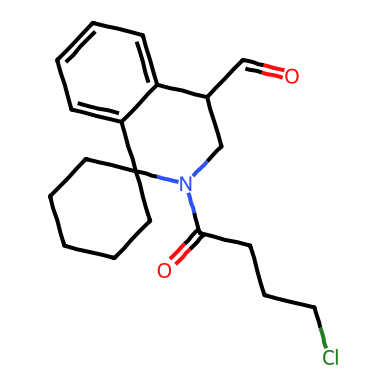 O=CC1CN(C(=O)CCCCl)C2(CCCCC2)c2ccccc21